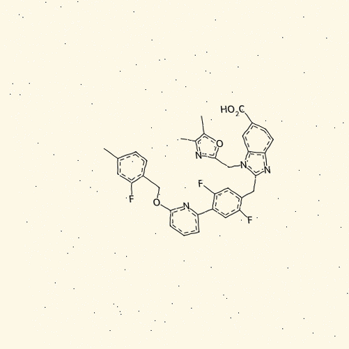 Cc1ccc(COc2cccc(-c3cc(F)c(Cc4nc5ccc(C(=O)O)cc5n4Cc4nc(C)c(C)o4)cc3F)n2)c(F)c1